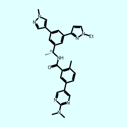 CCn1ccc(-c2cc(-c3cnn(C)c3)cc([C@@H](C)NC(=O)c3cc(-c4cnc(N(C)C)nc4)ccc3C)c2)n1